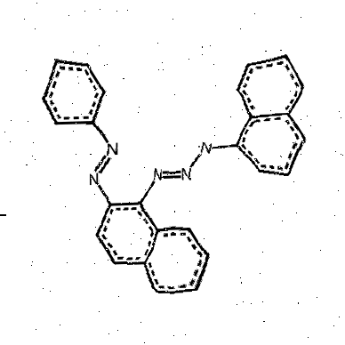 c1ccc(N=Nc2ccc3ccccc3c2N=N[N]c2cccc3ccccc23)cc1